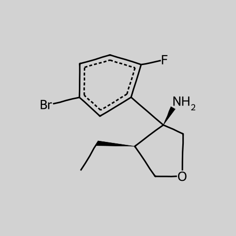 CC[C@@H]1COC[C@@]1(N)c1cc(Br)ccc1F